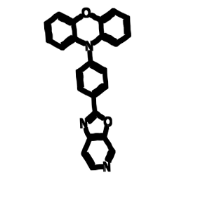 c1ccc2c(c1)Oc1ccccc1N2c1ccc(-c2nc3ccncc3o2)cc1